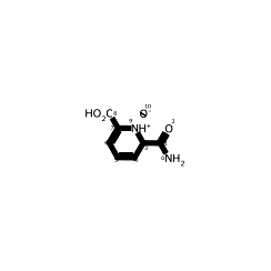 NC(=O)C1C=CC=C(C(=O)O)[NH+]1[O-]